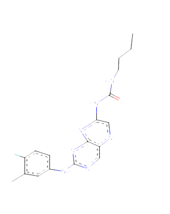 CCCCNC(=O)Nc1cnc2cnc(Nc3ccc(F)c(C)c3)nc2n1